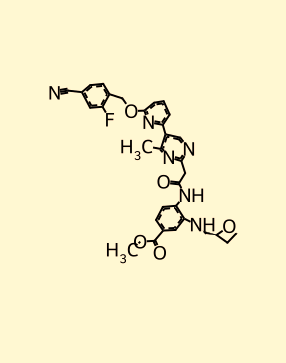 COC(=O)c1ccc(NC(=O)Cc2ncc(-c3cccc(OCc4ccc(C#N)cc4F)n3)c(C)n2)c(NC[C@@H]2CCO2)c1